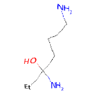 CCC(N)(O)CCCN